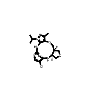 Cc1nn(C(C)C)c2c1OC[C@@H]1COC[C@H]1Nc1nc(ncc1Cl)N2